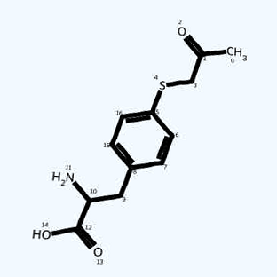 CC(=O)CSc1ccc(CC(N)C(=O)O)cc1